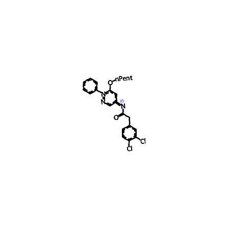 CCCCCOc1c/c(=N/C(=O)Cc2ccc(Cl)c(Cl)c2)cnn1-c1ccccc1